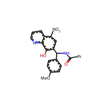 COc1ccc(C(NC(=O)C(C)C)c2cc([N+](=O)[O-])c3cccnc3c2O)cc1